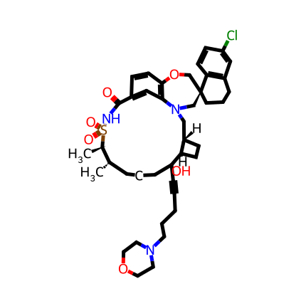 C[C@@H]1[C@@H](C)CCC[C@@](O)(C#CCCCN2CCOCC2)[C@@H]2CC[C@H]2CN2C[C@@]3(CCCc4cc(Cl)ccc43)COc3ccc(cc32)C(=O)NS1(=O)=O